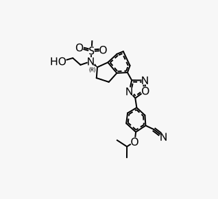 CC(C)Oc1ccc(-c2nc(-c3cccc4c3CC[C@H]4N(CCO)S(C)(=O)=O)no2)cc1C#N